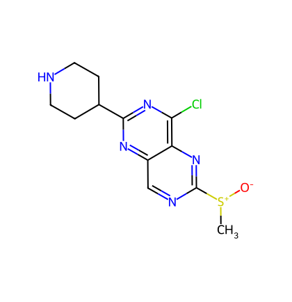 C[S+]([O-])c1ncc2nc(C3CCNCC3)nc(Cl)c2n1